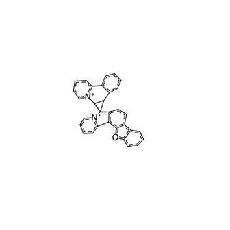 c1ccc2c(c1)-c1cccc[n+]1C1C2C12c1ccc3c(oc4ccccc43)c1-c1cccc[n+]12